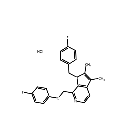 Cc1c(C)n(Cc2ccc(F)cc2)c2c(COc3ccc(F)cc3)nccc12.Cl